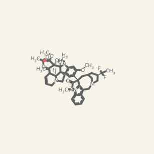 CC[C@]12C=CCN3CC[C@@]4(c5cc([C@@]6(C(=O)OC)CC7C[C@@H](C(C)(F)F)CN(Cc8c6[nH]c6ccccc86)C7)c(OC)cc5N(C)[C@H]4[C@@](O)(C(=O)OC)[C@@H]1OC(C)=O)[C@@H]32